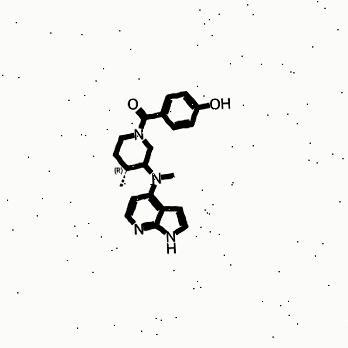 C[C@@H]1CCN(C(=O)c2ccc(O)cc2)CC1N(C)c1ccnc2[nH]ccc12